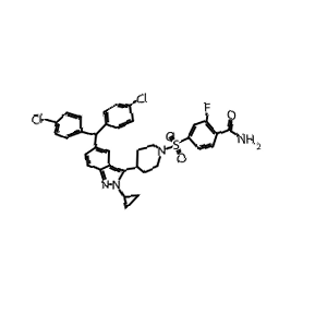 NC(=O)c1ccc(S(=O)(=O)N2CCC(c3c4cc(C(c5ccc(Cl)cc5)c5ccc(Cl)cc5)ccc4nn3C3CC3)CC2)cc1F